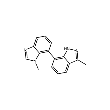 Cc1n[nH]c2c(-c3cccc4ncn(C)c34)cccc12